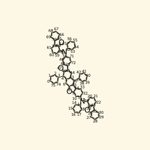 c1ccc(-c2c3cc4oc5cc(N(c6ccccc6)c6cccc7c6oc6ccccc67)ccc5c4c(-c4ccccc4)c3cc3c2oc2cc(N(c4ccccc4)c4cccc5c4oc4ccccc45)ccc23)cc1